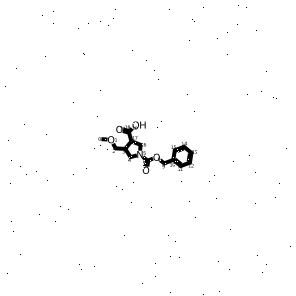 COCC1CN(C(=O)OCc2ccccc2)CC1C(=O)O